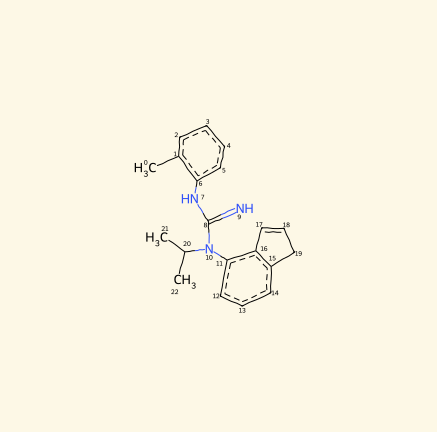 Cc1ccccc1NC(=N)N(c1cccc2c1C=CC2)C(C)C